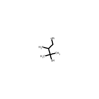 [CH2]CCCC(N)C(C)(C)S